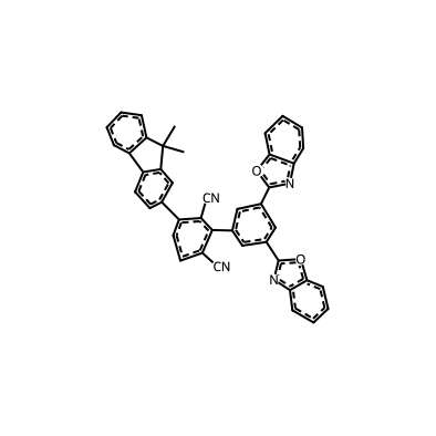 CC1(C)c2ccccc2-c2ccc(-c3ccc(C#N)c(-c4cc(-c5nc6ccccc6o5)cc(-c5nc6ccccc6o5)c4)c3C#N)cc21